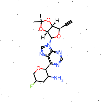 C#C[C@H]1O[C@@H](n2cnc3c(C4OCC(F)CC4N)ncnc32)[C@@H]2OC(C)(C)O[C@@H]21